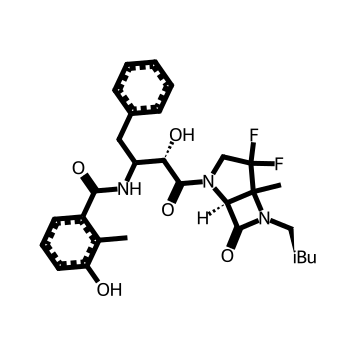 CC[C@H](C)CN1C(=O)[C@H]2N(C(=O)[C@@H](O)C(Cc3ccccc3)NC(=O)c3cccc(O)c3C)CC(F)(F)C21C